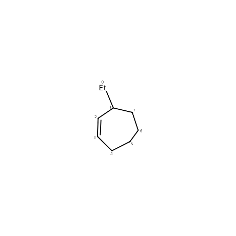 CCC1C=CCCCC1